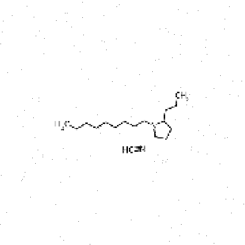 C#N.CCCCCCCCCN1CCCC1CCC